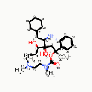 CC(C)CC(O)C(O)(CC(OC(=O)N(C)CCN(C)C)(C(=O)O)c1ccccc1)C(N)CC1CCCCC1